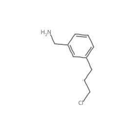 NCc1cccc(C[CH]CCl)c1